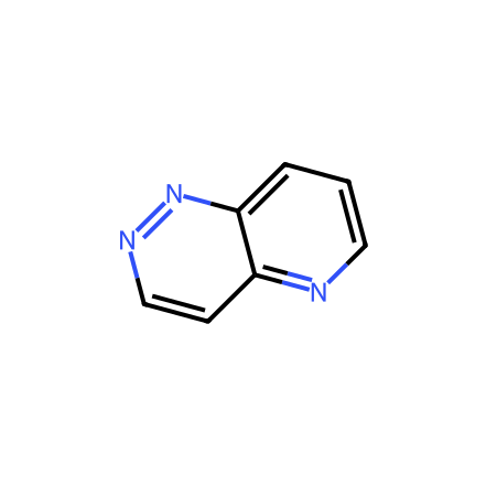 c1cnc2ccnnc2c1